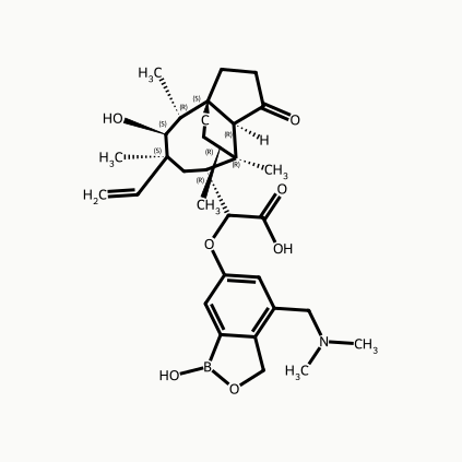 C=C[C@]1(C)C[C@@H](C(Oc2cc(CN(C)C)c3c(c2)B(O)OC3)C(=O)O)[C@@]2(C)[C@H](C)CC[C@]3(CCC(=O)[C@H]32)[C@@H](C)[C@@H]1O